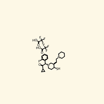 O=C(C1CC1)C(c1ccccc1F)N1CCC(S)/C(=C/CN2CCCCC2)C1.O=C(O)C(F)(F)F.O=C(O)C(F)(F)F